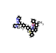 CC1CC(c2ccc(-c3cc(-c4ccccn4)nc(C4C=CC=CN4C)c3)cc2)=CC=C1C1Nc2c(cccc2C2(C)C=CC(C)C3c4ccccc4OC32)-c2c1sc1ccccc21